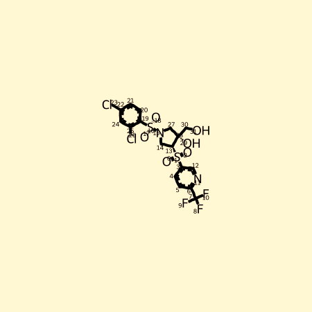 O=S(=O)(c1ccc(C(F)(F)F)nc1)[C@H]1CN(S(=O)(=O)c2ccc(Cl)cc2Cl)C[C@@]1(O)CO